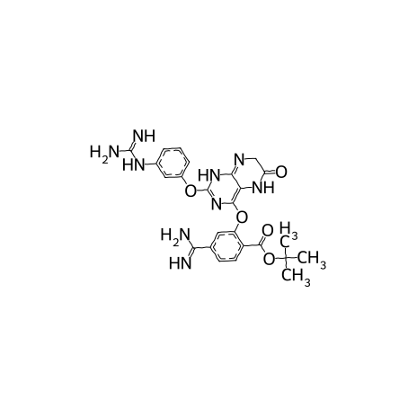 CC(C)(C)OC(=O)c1ccc(C(=N)N)cc1OC1=C2NC(=O)CN=C2NC(Oc2cccc(NC(=N)N)c2)=N1